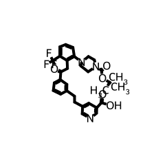 CC(C)(C)OC(=O)N1CCN(c2cccc(C(F)(F)F)c2CC(=O)c2cccc(CCc3cncc(C(=O)O)c3)c2)CC1